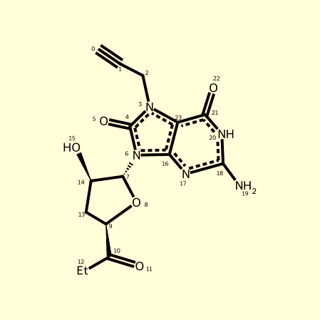 C#CCn1c(=O)n([C@@H]2O[C@@H](C(=O)CC)C[C@H]2O)c2nc(N)[nH]c(=O)c21